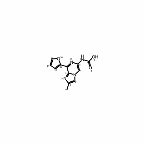 Cc1cn2cc(NC(=O)O)nc(-c3ccco3)c2n1